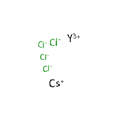 [Cl-].[Cl-].[Cl-].[Cl-].[Cs+].[Y+3]